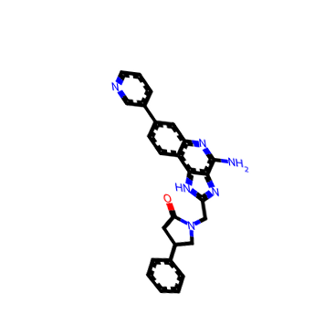 Nc1nc2cc(-c3cccnc3)ccc2c2[nH]c(CN3CC(c4ccccc4)CC3=O)nc12